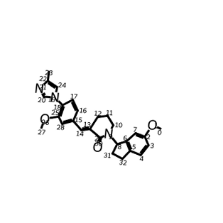 COc1ccc2c(c1)C(N1CCC/C(=C\c3ccc(-n4cnc(C)c4)c(OC)c3)C1=O)CC2